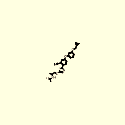 CC(=O)NC(C)COc1cnc(-c2ccc(Oc3cccc(OCC4CC4)c3)cc2C#N)s1